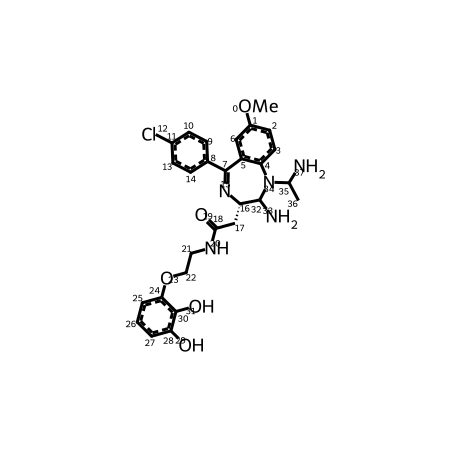 COc1ccc2c(c1)C(c1ccc(Cl)cc1)=N[C@@H](CC(=O)NCCOc1cccc(O)c1O)C(N)N2C(C)N